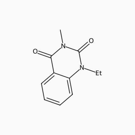 CCn1c(=O)n(C)c(=O)c2ccccc21